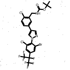 CC(C)(C)OC(=O)NCc1cc(-c2cnn(-c3c(Cl)cc(C(F)(C(F)(F)F)C(F)(F)F)cc3Br)c2)ccc1Cl